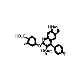 CS(=O)(=O)c1c(Oc2ccc(C(=O)O)c(F)c2)nc2cc3[nH]ncc3cc2c1-c1ccc(F)cc1